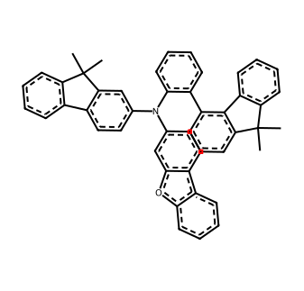 CC1(C)c2ccccc2-c2ccc(N(c3ccc4c(c3)oc3ccccc34)c3ccccc3-c3cccc4c3-c3ccccc3C4(C)C)cc21